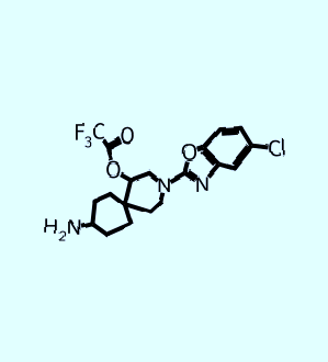 NC1CCC2(CC1)CCN(c1nc3cc(Cl)ccc3o1)CC2OC(=O)C(F)(F)F